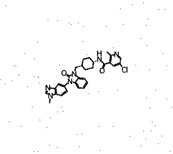 Cc1ncc(Cl)cc1C(=O)N[C@H]1CC[C@H](Cn2c(=O)n(-c3ccc4c(c3)ncn4C)c3ccccc32)CC1